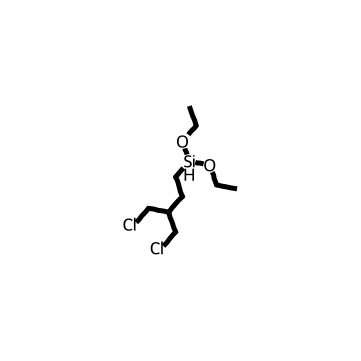 CCO[SiH](CCC(CCl)CCl)OCC